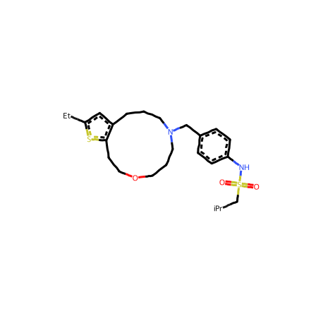 CCc1cc2c(s1)CCOCCCN(Cc1ccc(NS(=O)(=O)CC(C)C)cc1)CCC2